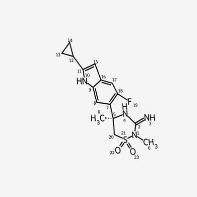 CN1C(=N)N[C@](C)(c2cc3[nH]c(C4CC4)cc3cc2F)CS1(=O)=O